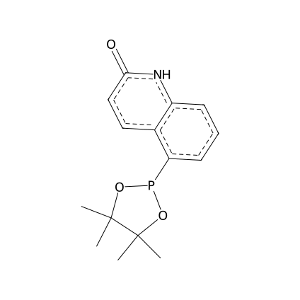 CC1(C)OP(c2cccc3[nH]c(=O)ccc23)OC1(C)C